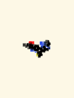 CC/C=C1/N=Cc2cc(-c3ccsc3)c(-c3ccc([C@]4(N)C[C@](C)(O)C4)cc3)nc2N1N